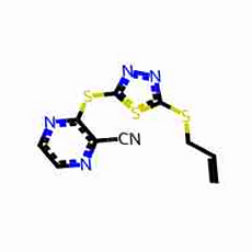 C=CCSc1nnc(Sc2nccnc2C#N)s1